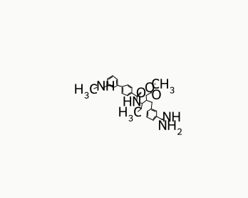 CCC(NC(=O)c1ccc(-c2cccc(CNC)c2)cc1)C(CC(=O)OC)Cc1cccc(C(=N)N)c1